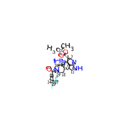 CC(C)OC(=O)c1cnc2[nH]ccc2c1N[C@@H]1CCCN(C(=O)[C@@H]2CC2(F)F)C1